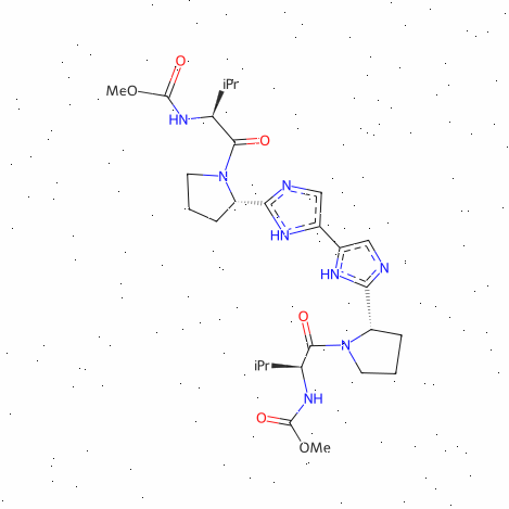 COC(=O)N[C@H](C(=O)N1CCC[C@H]1c1ncc(-c2cnc([C@@H]3CCCN3C(=O)[C@@H](NC(=O)OC)C(C)C)[nH]2)[nH]1)C(C)C